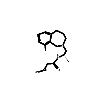 C[C@@H](CN1CCCc2cccc(I)c2C1)NC(=O)CNO